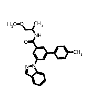 COCC(C)NC(=O)c1cc(-c2ccc(C)cc2)cc(-n2ncc3ccccc32)c1